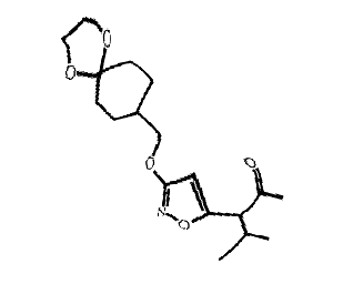 CC(=O)C(c1cc(OCC2CCC3(CC2)OCCO3)no1)C(C)C